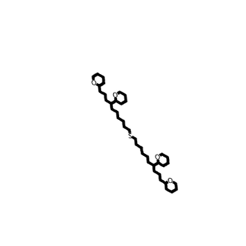 C(CCCC(CCCC1CCCCO1)C1CCCCO1)CCSCCCCCCC(CCCC1CCCCO1)C1CCCCO1